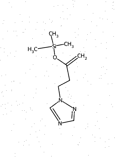 C=C(CCn1cncn1)O[Si](C)(C)C